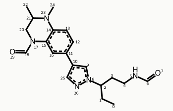 CCC(CCNC=O)n1cc(-c2ccc3c(c2)N(C=O)CC(C)N3C)cn1